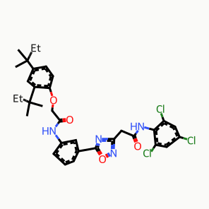 CCC(C)(C)c1ccc(OCC(=O)Nc2cccc(-c3nc(CC(=O)Nc4c(Cl)cc(Cl)cc4Cl)no3)c2)c(C(C)(C)CC)c1